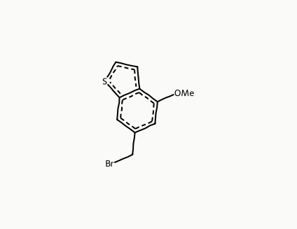 COc1cc(CBr)cc2sccc12